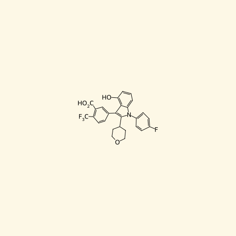 O=C(O)c1cc(-c2c(C3CCOCC3)n(-c3ccc(F)cc3)c3cccc(O)c23)ccc1C(F)(F)F